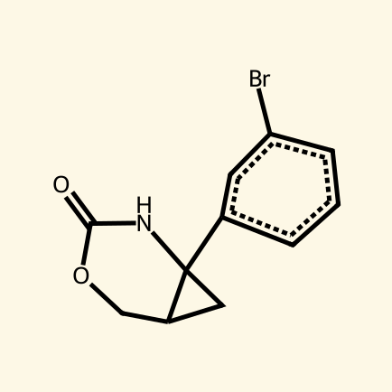 O=C1NC2(c3cccc(Br)c3)CC2CO1